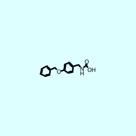 O=C(O)NCc1ccc(OCc2ccccc2)cc1